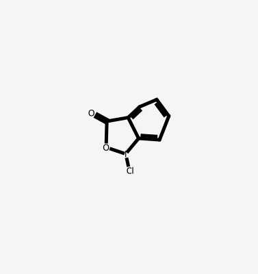 O=C1OI(Cl)c2ccccc21